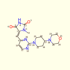 CN1C(=O)NC(=O)C1=Cc1ccnc(N2CCC(N3CCOCC3)CC2)n1